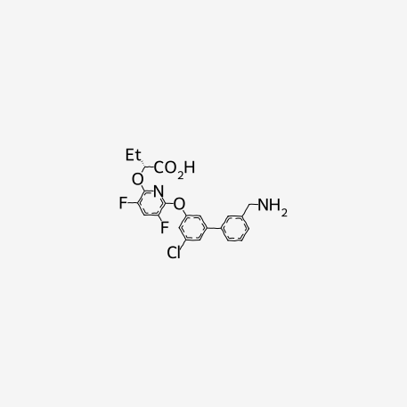 CC[C@@H](Oc1nc(Oc2cc(Cl)cc(-c3cccc(CN)c3)c2)c(F)cc1F)C(=O)O